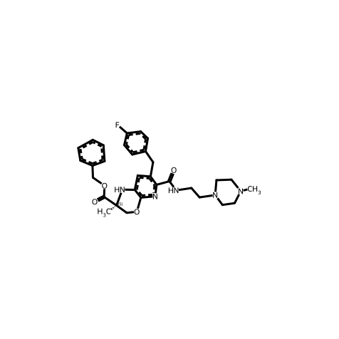 CN1CCN(CCNC(=O)c2nc3c(cc2Cc2ccc(F)cc2)N[C@](C)(C(=O)OCc2ccccc2)CO3)CC1